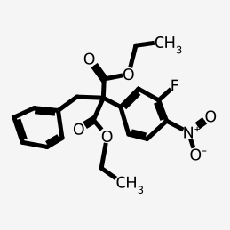 CCOC(=O)C(Cc1ccccc1)(C(=O)OCC)c1ccc([N+](=O)[O-])c(F)c1